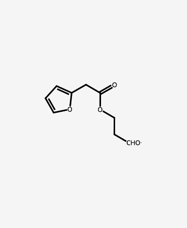 O=[C]CCOC(=O)Cc1ccco1